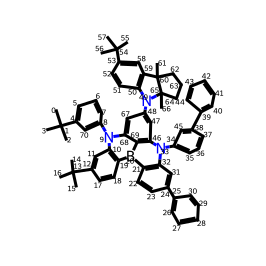 CC(C)(C)c1cccc(N2c3cc(C(C)(C)C)ccc3B3c4ccc(-c5ccccc5)cc4N(c4cccc(-c5ccccc5)c4)c4cc(N5c6ccc(C(C)(C)C)cc6C6(C)CCCC56C)cc2c43)c1